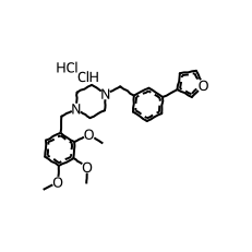 COc1ccc(CN2CCN(Cc3cccc(-c4ccoc4)c3)CC2)c(OC)c1OC.Cl.Cl